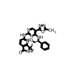 Cc1nnc(-c2cnc(Nc3ccc4c(n3)C(F)(F)NC4=O)nc2N[C@H](CO)c2ccccc2)o1